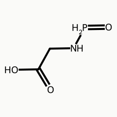 O=[PH2]NCC(=O)O